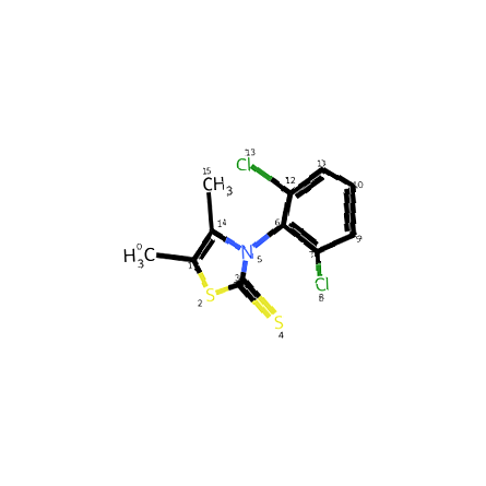 Cc1sc(=S)n(-c2c(Cl)cccc2Cl)c1C